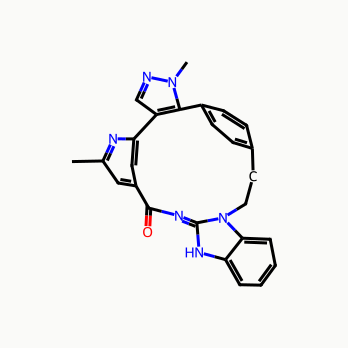 Cc1cc2cc(n1)-c1cnn(C)c1-c1ccc(cc1)CCN1/C(=N/C2=O)Nc2ccccc21